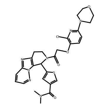 CN(C)C(=O)c1csc(C2c3c(nc4cccnn34)CCN2C(=O)COc2ccc(N3CCOCC3)nc2Cl)c1